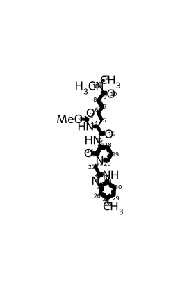 COC(=O)N[C@@H](CC/C=C/C(=O)N(C)C)C(=O)Nc1cccn(Cc2nc3cc(C)ccc3[nH]2)c1=O